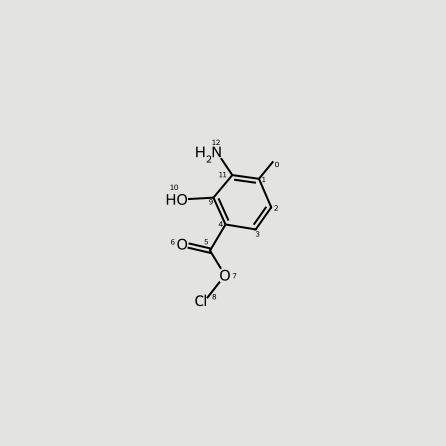 Cc1ccc(C(=O)OCl)c(O)c1N